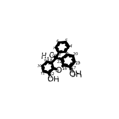 CC1(c2ccccc2)c2cccc(O)c2Oc2c(O)cccc21